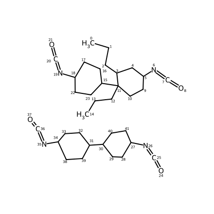 CCCC1CC(N=C=O)CCC1(CCC)C1CCC(N=C=O)CC1.O=C=NC1CCC(C2CCC(N=C=O)CC2)CC1